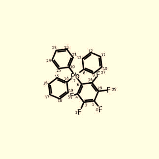 Fc1c(F)c(F)[c]([Pb]([c]2ccccc2)([c]2ccccc2)[c]2ccccc2)c(F)c1F